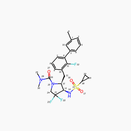 Cc1cccc(-c2cccc(C[C@H]3[C@@H](NS(=O)(=O)C4CC4)C(F)(F)CN3C(=O)N(C)C)c2F)c1